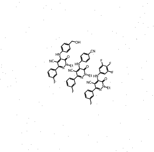 CCn1nc(-c2cccc(F)c2)c(C#N)c(Nc2cc(F)c(F)c(F)c2)c1=O.CCn1nc(-c2cccc(F)c2)c(C#N)c(Nc2ccc(C#N)cc2)c1=O.CCn1nc(-c2cccc(F)c2)c(C#N)c(Nc2ccc(CO)cc2)c1=O